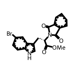 COC(=O)[C@H](Cc1c[nH]c2ccc(Br)cc12)N1C(=O)c2ccccc2C1=O